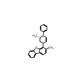 Cc1ccc2c(oc3ccccc32)c1N1C=CN(c2ccccc2)[C@@H](C)C1